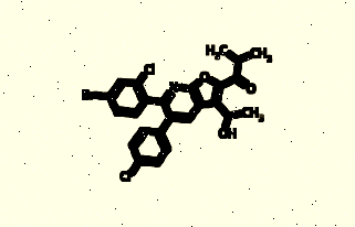 CC(C)C(=O)c1oc2nc(-c3ccc(Br)cc3Cl)c(-c3ccc(Cl)cc3)cc2c1C(C)O